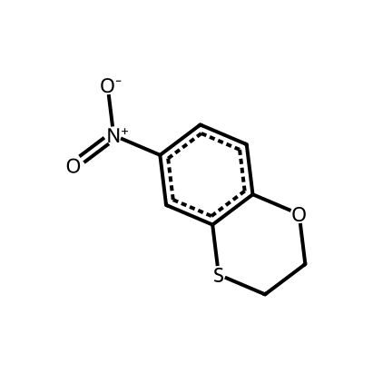 O=[N+]([O-])c1ccc2c(c1)SCCO2